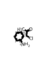 CC(=O)CCl.Nc1ccccc1